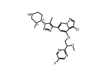 COC(COc1cc(-c2nnn([C@@H]3CCNC[C@@H]3F)c2C)cn2ncc(Cl)c12)c1ncc(F)cn1